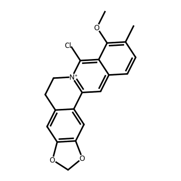 COc1c(C)ccc2cc3[n+](c(Cl)c12)CCc1cc2c(cc1-3)OCO2